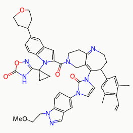 C=Cc1c(C)cc(C2CCN=C3CCN(C(=O)c4cc5cc(C6CCOCC6)ccc5n4C4(c5noc(=O)[nH]5)CC4)CC3=C2n2ccn(-c3ccc4c(cnn4CCOC)c3)c2=O)cc1C